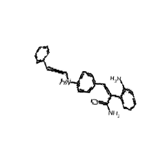 NC(=O)C(=Cc1ccc(NC=Cc2ccccc2)cc1)c1ccccc1N